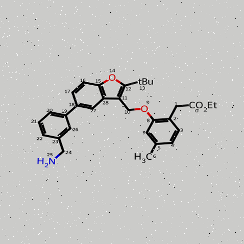 CCOC(=O)Cc1ccc(C)cc1OCc1c(C(C)(C)C)oc2ccc(-c3cccc(CN)c3)cc12